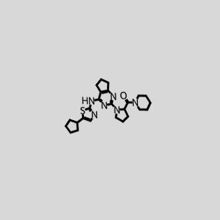 O=C(C1CCCN1c1nc2c(c(Nc3ncc(C4CCCC4)s3)n1)CCC2)N1CCCCC1